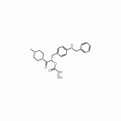 CN1CCN(C(=O)[C@@H](Cc2ccc(NCc3ccccc3)cc2)OC(=O)NC(C)(C)C)CC1